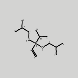 C=C[Si](OCC(C)C)(OCC(C)C)C(C)C